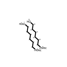 CCCCCCCCCCCCCCCCCCCCCCCCCC.CCCCCCCCCCCCCCCCO